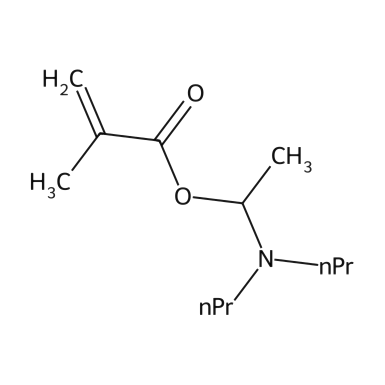 C=C(C)C(=O)OC(C)N(CCC)CCC